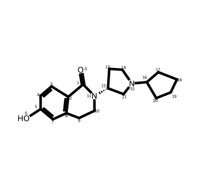 O=C1c2ccc(O)cc2CCN1[C@@H]1CCN(C2CCCC2)C1